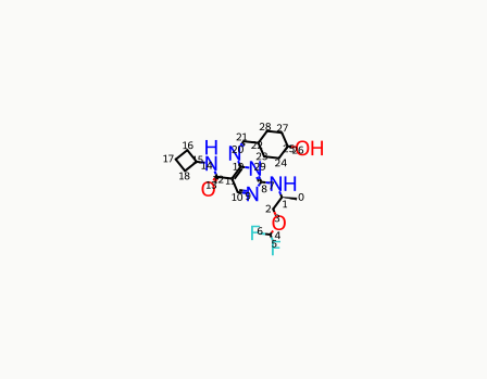 C[C@@H](COC(F)F)Nc1ncc(C(=O)NC2CCC2)c(/N=C\C2CCC(O)CC2)n1